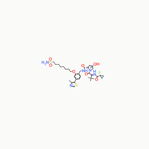 Cc1ncsc1-c1ccc(CNC(=O)[C@@H]2C[C@@H](O)CN2C(=O)[C@@H](NC(=O)C2(F)CC2)C(C)(C)C)c(OCCCCCCCCS(N)(=O)=O)c1